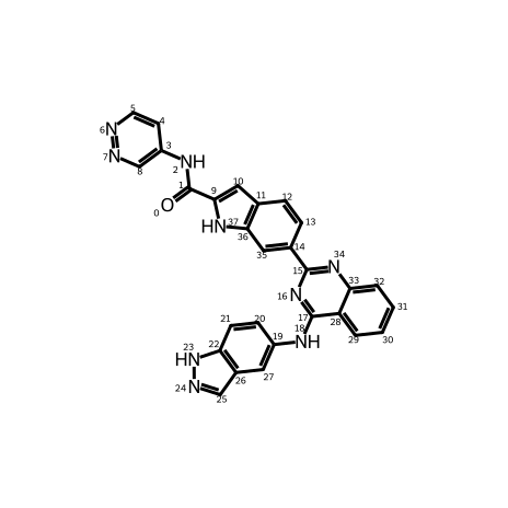 O=C(Nc1ccnnc1)c1cc2ccc(-c3nc(Nc4ccc5[nH]ncc5c4)c4ccccc4n3)cc2[nH]1